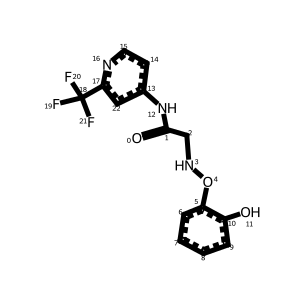 O=C(CNOc1ccccc1O)Nc1ccnc(C(F)(F)F)c1